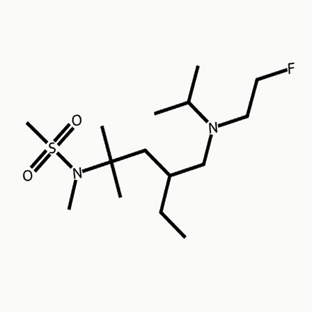 CCC(CN(CCF)C(C)C)CC(C)(C)N(C)S(C)(=O)=O